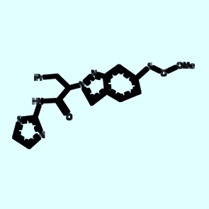 COOSc1ccc2cn(C(CC(C)C)C(=O)Nc3nccs3)nc2c1